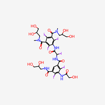 CN(CC(O)CO)C(=O)c1c(I)c(NC(=O)C(I)NC(=O)c2cc(C(=O)NCC(O)CO)c(I)c(NC(=O)CO)c2I)c(I)c(C(=O)N(C)CC(O)CO)c1I